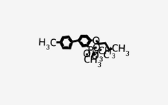 COP(=O)(OC)c1cc(-c2ccc(C)cc2)ccc1OCCC(C)C